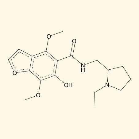 CCN1CCCC1CNC(=O)c1c(O)c(OC)c2occc2c1OC